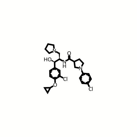 O=C(N[C@H](CN1CCCC1)[C@H](O)c1ccc(OC2CC2)c(Cl)c1)C1CCN(c2ccc(Cl)cc2)C1